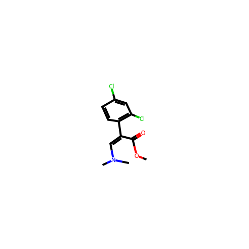 COC(=O)C(=CN(C)C)c1ccc(Cl)cc1Cl